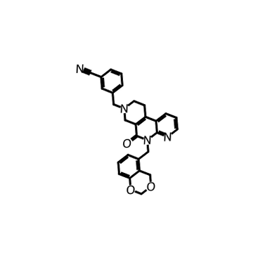 N#Cc1cccc(CN2CCc3c(c(=O)n(Cc4cccc5c4COCO5)c4ncccc34)C2)c1